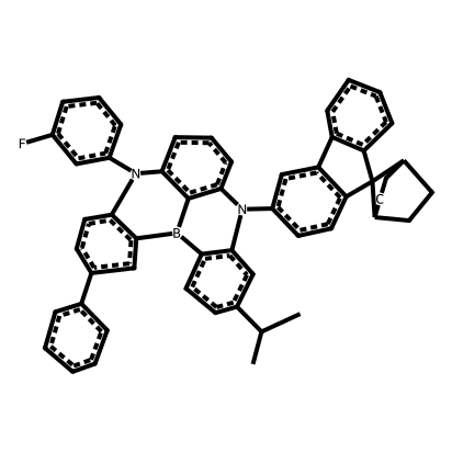 CC(C)c1ccc2c(c1)N(c1ccc3c(c1)-c1ccccc1C31C3CCC1CC3)c1cccc3c1B2c1cc(-c2ccccc2)ccc1N3c1cccc(F)c1